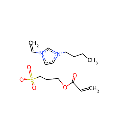 C=CC(=O)OCCCS(=O)(=O)[O-].C=Cn1cc[n+](CCCC)c1